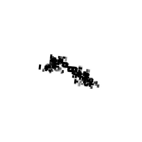 COC(=O)N[C@H](C(=O)N1[C@@H]2C[C@@H]2C[C@H]1c1nc(Cl)c(-c2ccc(-c3ccc4nc(-c5[nH]c([C@@H]6C[C@H]7C[C@H]7N6C(=O)[C@@H](NC(=O)OC)C(C)C)nc5Cl)ccc4c3)cc2)[nH]1)C(C)C